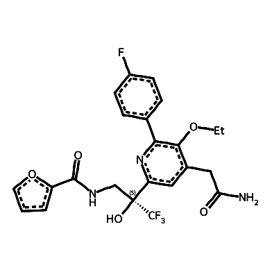 CCOc1c(CC(N)=O)cc([C@@](O)(CNC(=O)c2ccco2)C(F)(F)F)nc1-c1ccc(F)cc1